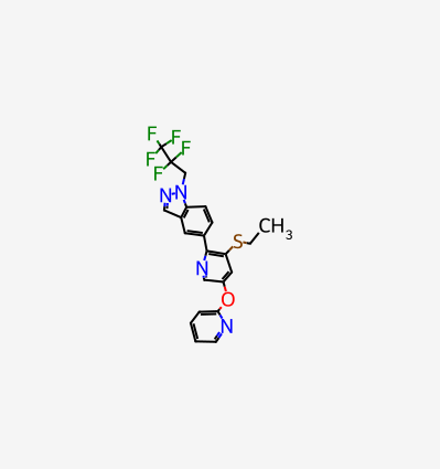 CCSc1cc(Oc2ccccn2)cnc1-c1ccc2c(cnn2CC(F)(F)C(F)(F)F)c1